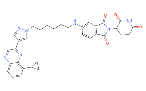 O=C1CCC(N2C(=O)c3ccc(NCCCCCCn4cc(-c5cnc6cccc(C7CC7)c6n5)cn4)cc3C2=O)C(=O)N1